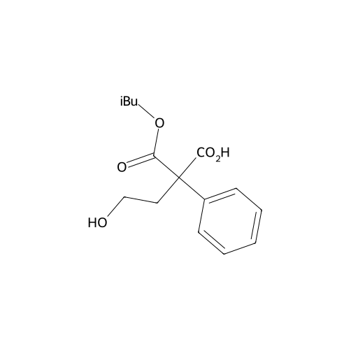 CCC(C)OC(=O)C(CCO)(C(=O)O)c1ccccc1